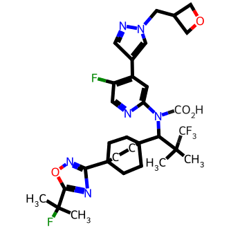 CC(C)(F)c1nc(C23CCC(C(N(C(=O)O)c4cc(-c5cnn(CC6COC6)c5)c(F)cn4)C(C)(C)C(F)(F)F)(CC2)CC3)no1